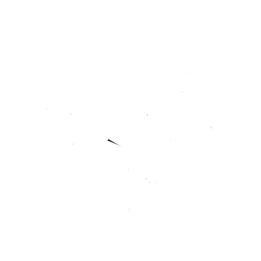 Cc1ccc(S(=O)(=O)O)cc1.N[C@@H]1CCN(C(=O)O)C[C@H]1c1ccc(Cl)cc1